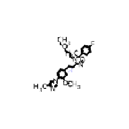 CCOCCCN1C(/C=C/c2ccc(-n3cnc(C)c3)c(OC)c2)=NOC1(C)c1ccc(F)cc1